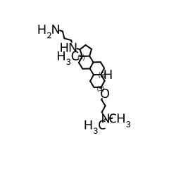 CN(C)CCCO[C@H]1CCC2C3CC[C@]4(C)C(NCCCN)CCC4C3CC[C@H]2C1